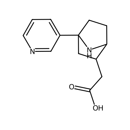 O=C(O)CC1CC2(c3cccnc3)CCC1N2